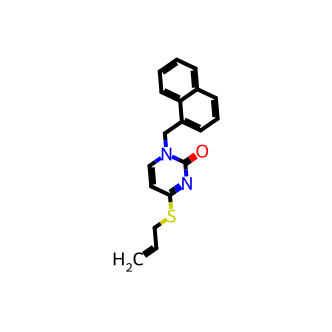 C=CCSc1ccn(Cc2cccc3ccccc23)c(=O)n1